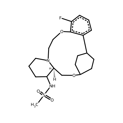 CS(=O)(=O)NC1CCCN2CCOc3c(F)cccc3C3CCC(CC3)OC[C@@H]12